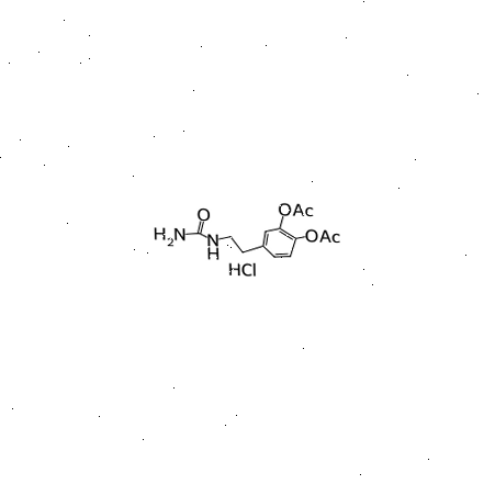 CC(=O)Oc1ccc(CCNC(N)=O)cc1OC(C)=O.Cl